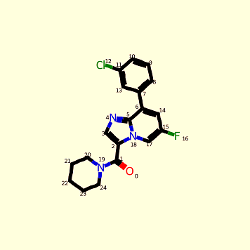 O=C(c1cnc2c(-c3cccc(Cl)c3)cc(F)cn12)N1CCCCC1